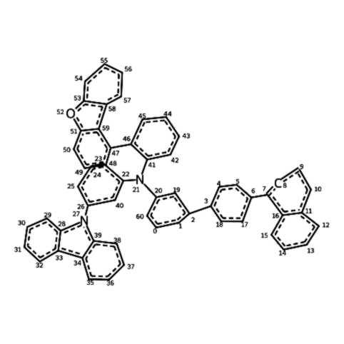 c1cc(-c2ccc(-c3cccc4ccccc34)cc2)cc(N(c2cccc(-n3c4ccccc4c4ccccc43)c2)c2ccccc2-c2cccc3oc4ccccc4c23)c1